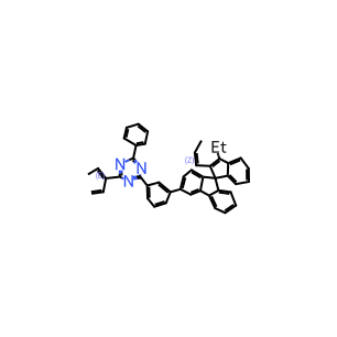 C=C/C(=C\C)c1nc(-c2ccccc2)nc(-c2cccc(-c3ccc4c(c3)-c3ccccc3C43C(/C=C\C)=C(CC)c4ccccc43)c2)n1